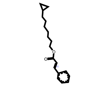 O=C(/C=C/c1ccccc1)OCCCCCCCC1CC1